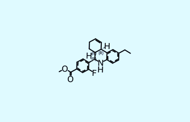 CCc1ccc2c(c1)[C@@H]1C=CCC[C@@H]1[C@H](c1ccc(C(=O)OC)cc1F)N2